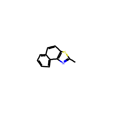 Cc1nc2c(ccc3ccccc32)s1